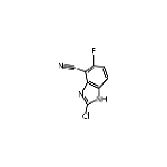 N#Cc1c(F)ccc2[nH]c(Cl)nc12